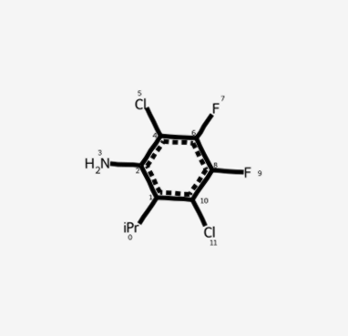 CC(C)c1c(N)c(Cl)c(F)c(F)c1Cl